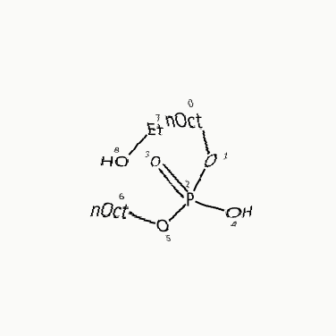 CCCCCCCCOP(=O)(O)OCCCCCCCC.CCO